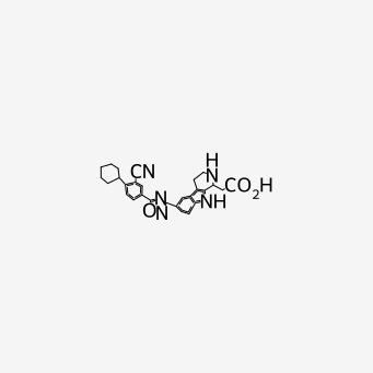 N#Cc1cc(-c2nc(-c3ccc4[nH]c5c(c4c3)CCNC5CC(=O)O)no2)ccc1C1CCCCC1